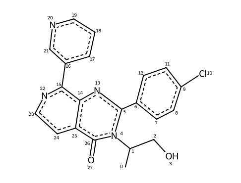 CC(CO)n1c(-c2ccc(Cl)cc2)nc2c(-c3cccnc3)nccc2c1=O